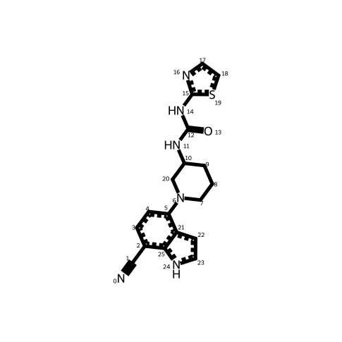 N#Cc1ccc(N2CCCC(NC(=O)Nc3nccs3)C2)c2cc[nH]c12